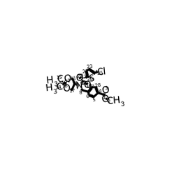 COC(=O)c1ccc(CN(C2COC(C)(C)OC2)S(=O)(=O)c2ccc(Cl)s2)cc1